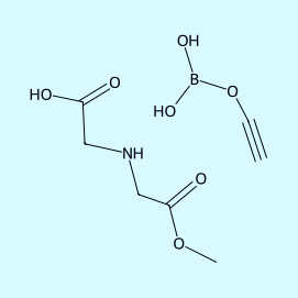 C#COB(O)O.COC(=O)CNCC(=O)O